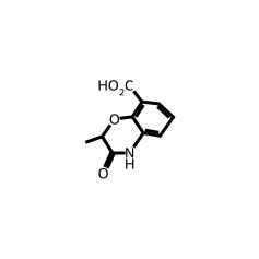 CC1Oc2c(cccc2C(=O)O)NC1=O